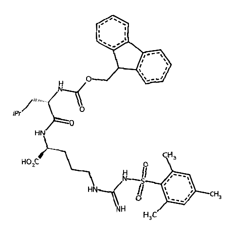 Cc1cc(C)c(S(=O)(=O)NC(=N)NCCC[C@H](NC(=O)[C@H](CC(C)C)NC(=O)OCC2c3ccccc3-c3ccccc32)C(=O)O)c(C)c1